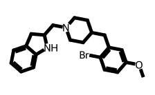 COc1ccc(Br)c(CC2CCN(CC3Cc4ccccc4N3)CC2)c1